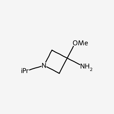 COC1(N)CN(C(C)C)C1